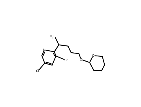 CC(CCCOC1CCCCO1)c1ncc(Cl)cc1Br